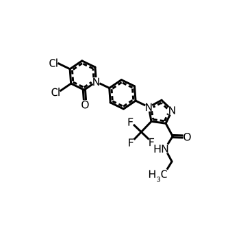 CCNC(=O)c1ncn(-c2ccc(-n3ccc(Cl)c(Cl)c3=O)cc2)c1C(F)(F)F